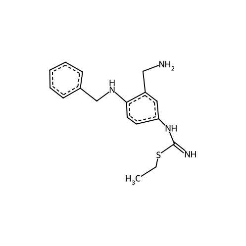 CCSC(=N)Nc1ccc(NCc2ccccc2)c(CN)c1